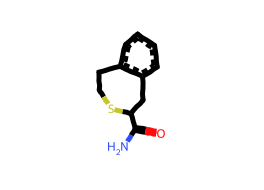 NC(=O)C1Cc2ccccc2CCS1